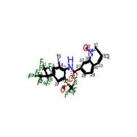 O=C(Nc1c(I)cc(C(F)(C(F)(F)F)C(F)(F)F)cc1S(=O)(=O)C(F)(F)F)c1ccc2ccc[n+]([O-])c2c1